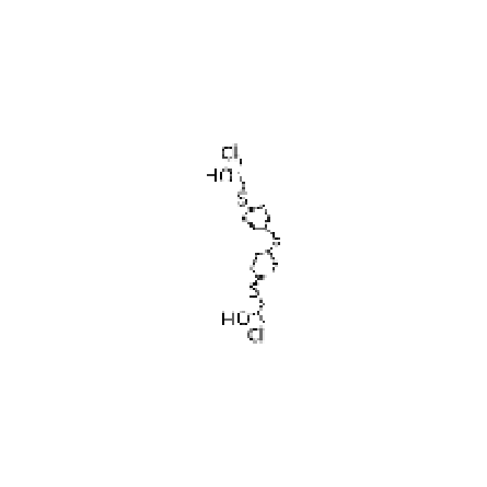 C=C(/C=C\C(=C/C)Sc1ccc(SCC(O)CCl)cc1)SCC(O)CCl